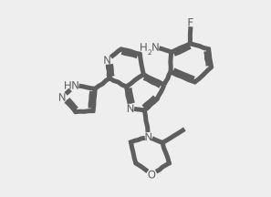 CC1COCCN1c1cc(-c2cccc(F)c2N)c2ccnc(-c3ccn[nH]3)c2n1